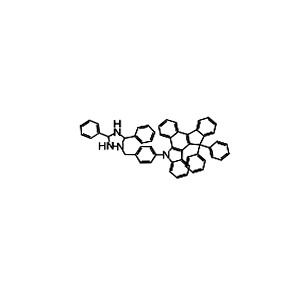 c1ccc(C2NC(c3ccccc3)N(Cc3ccc(-n4c5ccccc5c5c6c(c7ccccc7c54)-c4ccccc4C6(c4ccccc4)c4ccccc4)cc3)N2)cc1